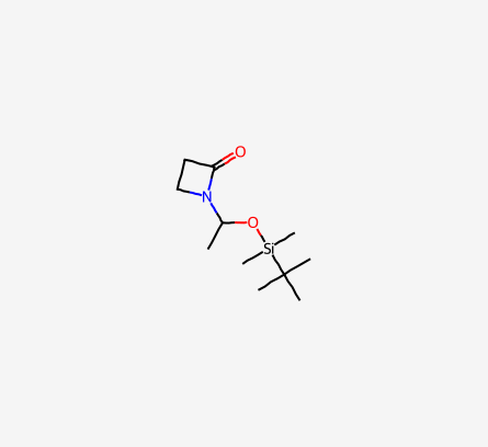 CC(O[Si](C)(C)C(C)(C)C)N1CCC1=O